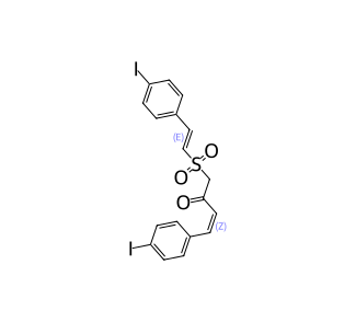 O=C(/C=C\c1ccc(I)cc1)CS(=O)(=O)/C=C/c1ccc(I)cc1